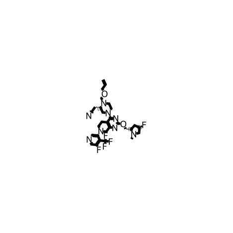 C=CCOCN1CCN(c2nc(OC[C@@H]3C[C@@H](F)CN3C)nc3c2CCN(c2cncc(F)c2C(F)(F)F)C3)C[C@@H]1CC#N